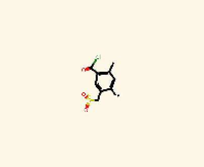 Cc1cc(C(C)C)c(C[SH](=O)=O)cc1C(=O)Cl